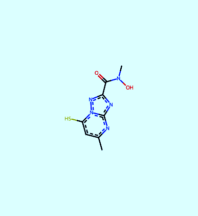 Cc1cc(S)n2nc(C(=O)N(C)O)nc2n1